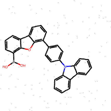 OB(O)c1cccc2c1oc1c(-c3ccc(-n4c5ccccc5c5ccccc54)cc3)cccc12